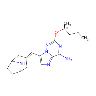 CCC[C@H](C)Oc1nc(N)c2ncc(C=C3CC4CCC(C3)N4)n2n1